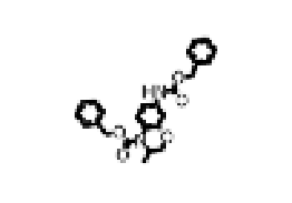 CC1COc2cc(NC(=O)OCc3ccccc3)ccc2N1C(=O)OCc1ccccc1